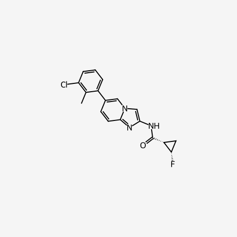 Cc1c(Cl)cccc1-c1ccc2nc(NC(=O)[C@@H]3C[C@@H]3F)cn2c1